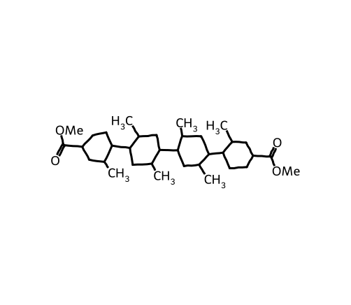 COC(=O)C1CCC(C2CC(C)C(C3CC(C)C(C4CCC(C(=O)OC)CC4C)CC3C)CC2C)C(C)C1